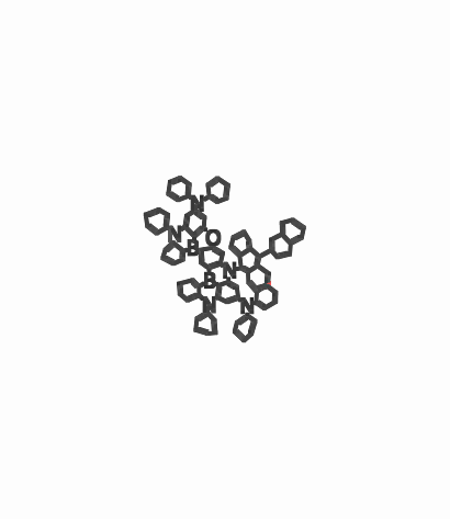 c1ccc(N(c2ccccc2)c2cc3c4c(c2)N(c2ccccc2)c2ccccc2B4c2cc4c(cc2O3)N(c2c3ccccc3c(-c3ccc5ccccc5c3)c3ccccc23)c2cc(N(c3ccccc3)c3ccccc3)cc3c2B4c2ccccc2N3c2ccccc2)cc1